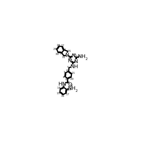 Nc1nc(NCc2ccc(C(=O)Nc3ccccc3N)cc2)nc(N2Cc3ccccc3C2)n1